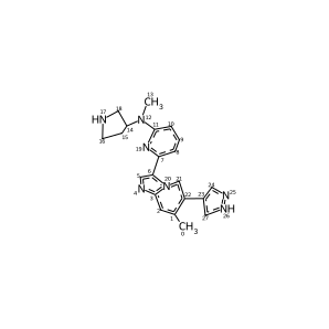 Cc1cc2ncc(-c3cccc(N(C)C4CCNC4)n3)n2cc1-c1cn[nH]c1